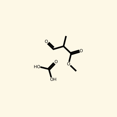 COC(=O)C(C)C=O.O=C(O)O